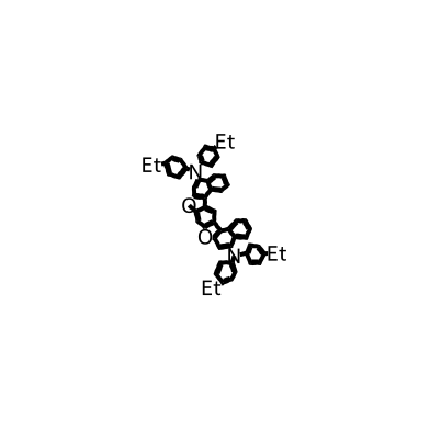 CCc1ccc(N(c2ccc(CC)cc2)c2cc3oc4cc5oc6cc(N(c7ccc(CC)cc7)c7ccc(CC)cc7)c7ccccc7c6c5cc4c3c3ccccc23)cc1